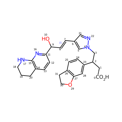 O=C(O)CC(Cn1cc(/C=C/C(O)c2ccc3c(n2)NCCC3)cn1)c1ccc2c(c1)OCC2